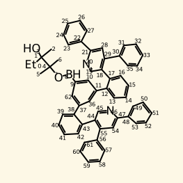 CCC(C)(O)C(C)(C)OBc1cc(-c2ccccc2-c2cnc(-c3ccccc3)cc2-c2ccccc2)cc(-c2ccccc2-c2cnc(-c3ccccc3)cc2-c2ccccc2)c1